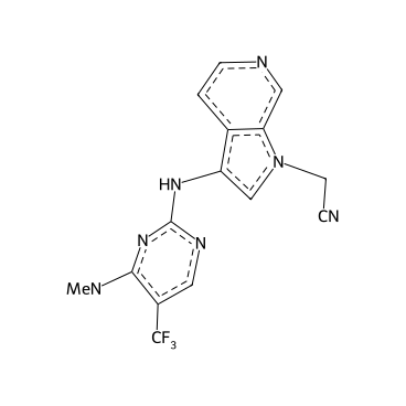 CNc1nc(Nc2cn(CC#N)c3cnccc23)ncc1C(F)(F)F